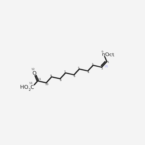 CCCCCCCC/C=C\CCCCCCCCC(=O)C(=O)O